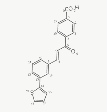 O=C(O)c1ccc(C(=O)C=Cc2cccc(-c3cccs3)c2)cc1